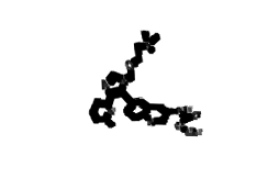 Cc1cccc(-c2ncn(COCCS(C)(C)C)c2-c2ccc3ncc(NC(=O)OC(C)(C)C)cc3c2)n1